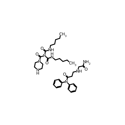 CCCCCNC(=O)N(C(=O)NCCCCC)C(=O)N1CCNCC1.NC(=O)CNCCC(=O)N(c1ccccc1)c1ccccc1